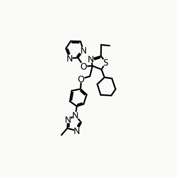 CCC1=NC(COc2ccc(-n3cnc(C)n3)cc2)(Oc2ncccn2)C(C2CCCCC2)S1